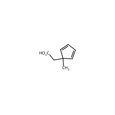 CC1(CC(=O)O)C=CC=C1